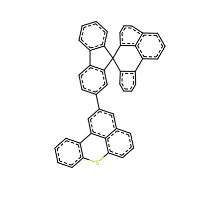 c1ccc2c(c1)Sc1cccc3cc(-c4ccc5c(c4)C4(c6ccccc6-5)c5ccccc5-c5cccc6cccc4c56)cc-2c13